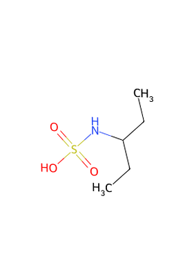 CCC(CC)NS(=O)(=O)O